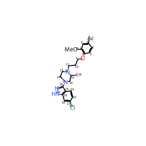 COc1cc(C(C)=O)ccc1OCCCN1CCN(c2n[nH]c3cc(Cl)ccc23)CC1I